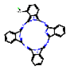 [Cl][GaH][c]1cccc2c3nc4nc(nc5[nH]c(nc6nc(nc([nH]3)c12)-c1ccccc1-6)c1ccccc51)-c1ccccc1-4